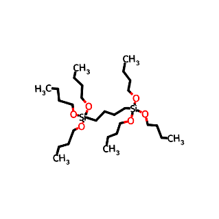 CCCCO[Si](CCCC[Si](OCCCC)(OCCCC)OCCCC)(OCCCC)OCCCC